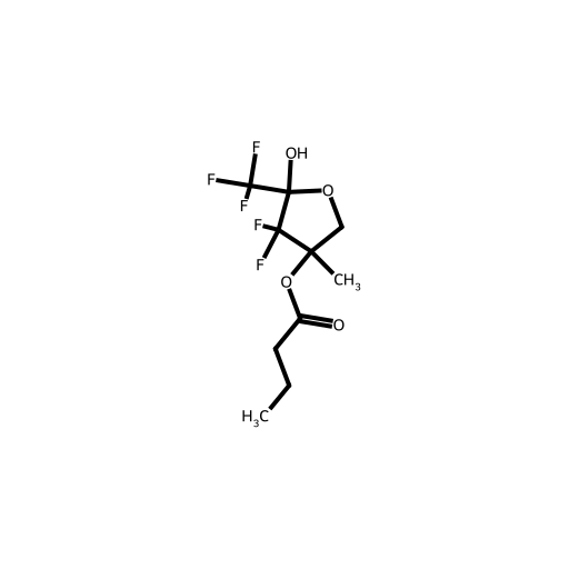 CCCC(=O)OC1(C)COC(O)(C(F)(F)F)C1(F)F